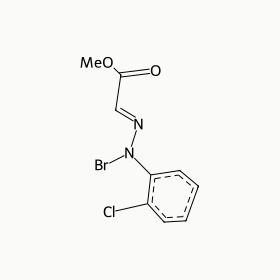 COC(=O)C=NN(Br)c1ccccc1Cl